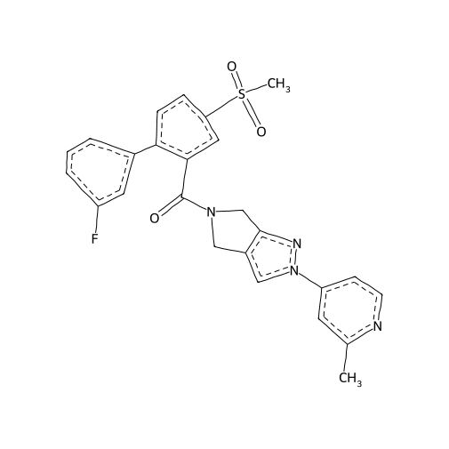 Cc1cc(-n2cc3c(n2)CN(C(=O)c2cc(S(C)(=O)=O)ccc2-c2cccc(F)c2)C3)ccn1